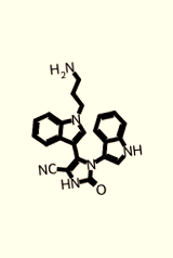 N#Cc1[nH]c(=O)n(-c2c[nH]c3ccccc23)c1-c1cn(CCCN)c2ccccc12